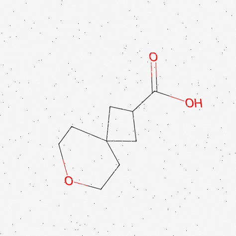 O=C(O)C1CC2(CCOCC2)C1